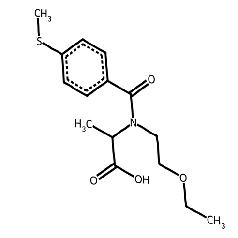 CCOCCN(C(=O)c1ccc(SC)cc1)C(C)C(=O)O